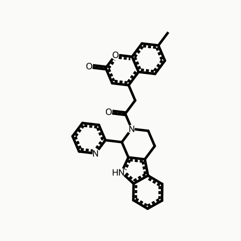 Cc1ccc2c(CC(=O)N3CCc4c([nH]c5ccccc45)C3c3ccccn3)cc(=O)oc2c1